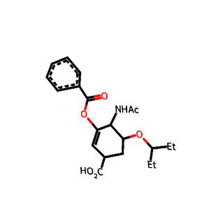 CCC(CC)OC1CC(C(=O)O)C=C(OC(=O)c2ccccc2)C1NC(C)=O